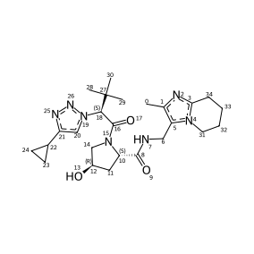 Cc1nc2n(c1CNC(=O)[C@@H]1C[C@@H](O)CN1C(=O)[C@@H](n1cc(C3CC3)nn1)C(C)(C)C)CCCC2